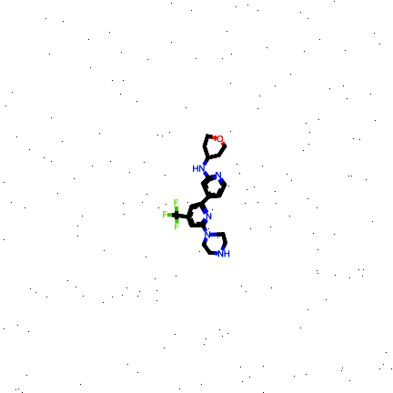 FC(F)(F)c1cc(-c2ccnc(NC3CCOCC3)c2)nc(N2CCNCC2)c1